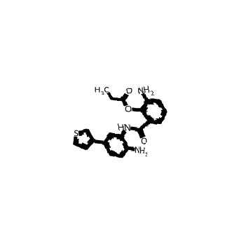 CCC(=O)Oc1c(N)cccc1C(=O)Nc1cc(-c2ccsc2)ccc1N